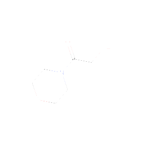 O=C(CO)N1CCOCC1